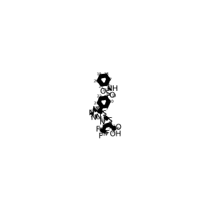 O=C(O)c1sc(SC2(c3ccc(S(=O)(=O)Nc4ccccc4)cc3)N=NN=N2)nc1C(F)(F)F